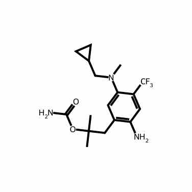 CN(CC1CC1)c1cc(CC(C)(C)OC(N)=O)c(N)cc1C(F)(F)F